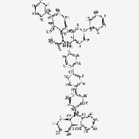 c1ccc(-c2ccc(N(c3ccc(-c4ccc(-c5ccc(-n6c7ccccc7c7ccccc76)cc5)cc4)cc3)c3cccc4c(-c5ccccc5)cccc34)cc2)cc1